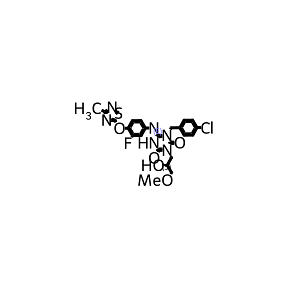 COC[C@@H](O)Cn1c(=O)[nH]/c(=N\c2ccc(Oc3nc(C)ns3)c(F)c2)n(Cc2ccc(Cl)cc2)c1=O